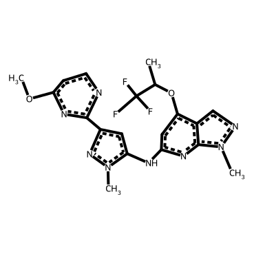 COc1ccnc(-c2cc(Nc3cc(OC(C)C(F)(F)F)c4cnn(C)c4n3)n(C)n2)n1